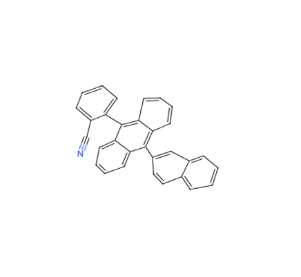 N#Cc1ccccc1-c1c2ccccc2c(-c2ccc3ccccc3c2)c2ccccc12